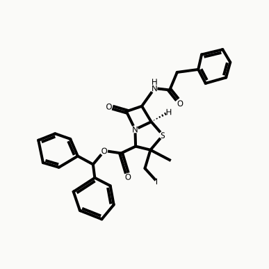 CC1(CI)S[C@@H]2C(NC(=O)Cc3ccccc3)C(=O)N2C1C(=O)OC(c1ccccc1)c1ccccc1